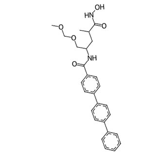 COCOCC(CC(C)C(=O)NO)NC(=O)c1ccc(-c2ccc(-c3ccccc3)cc2)cc1